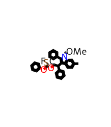 COCn1c(-c2ccccc2)c(C(c2ccccc2)C(OC(=S)Oc2ccccc2)C(F)(F)F)c2ccc(C)cc21